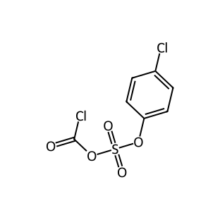 O=C(Cl)OS(=O)(=O)Oc1ccc(Cl)cc1